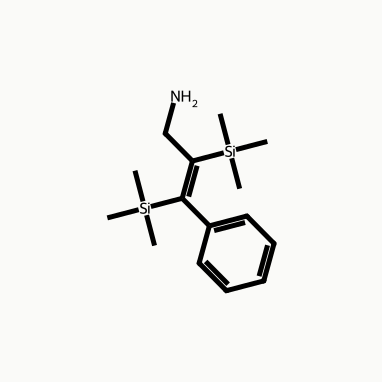 C[Si](C)(C)C(CN)=C(c1ccccc1)[Si](C)(C)C